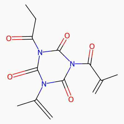 C=C(C)C(=O)n1c(=O)n(C(=C)C)c(=O)n(C(=O)CC)c1=O